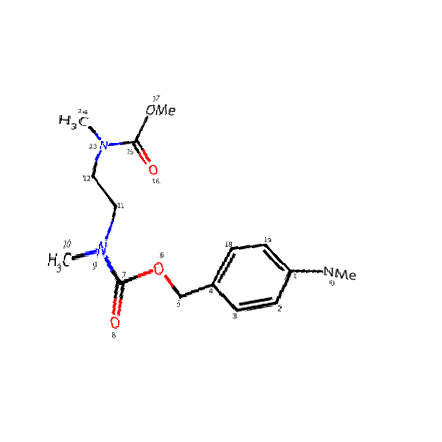 CNc1ccc(COC(=O)N(C)CCN(C)C(=O)OC)cc1